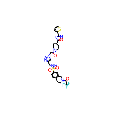 O=C(Cn1cc(CNS(=O)(=O)c2ccc3c(c2)CN(C(=O)C(F)(F)F)CC3)nn1)N1CCC(c2nc(-c3cccs3)no2)CC1